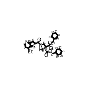 CCc1ccnc2cc(C(=O)NCC(NC(=O)OCc3ccccc3)C(=O)OCc3ccccc3)sc12